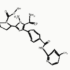 Cc1ccnc(NC(=O)c2ccc(-c3nc(C4CCCN4C(=O)OC(C)(C)C)n(N)c3C(N)=O)cc2)c1